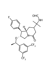 C[C@@H](O[C@H]1CN2C(=O)CC(C(C)(C)NC=O)C[C@H]2[C@@H]1c1ccc(F)cc1)c1cc(C(F)(F)F)cc(C(F)(F)F)c1